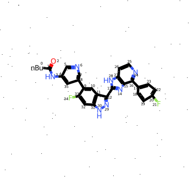 CCCCC(=O)Nc1cncc(-c2cc3c(-c4nc5c(-c6ccc(F)cc6)nccc5[nH]4)n[nH]c3cc2F)c1